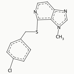 Cn1cnc2ccnc(SCc3ccc(Cl)cc3)c21